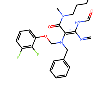 C=N/C(NC=O)=C(/C(=O)N(C)CCCO)N(COc1cccc(F)c1F)Cc1ccccc1